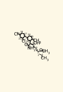 CCC[C@H](CCC/C(O)=C(\C(N)=O)c1cc(-c2ccc(Cl)cc2Cl)ccc1C)OC